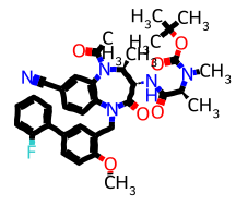 COc1ccc(-c2ccccc2F)cc1CN1C(=O)[C@@H](NC(=O)[C@H](C)N(C)C(=O)OC(C)(C)C)[C@H](C)N(C(C)=O)c2cc(C#N)ccc21